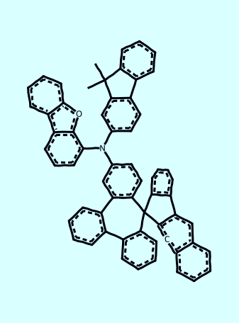 CC1(C)c2ccccc2-c2ccc(N(c3ccc4c(c3)-c3ccccc3-c3ccccc3C43c4ccccc4-c4cc5ccccc5cc43)c3cccc4c3oc3ccccc34)cc21